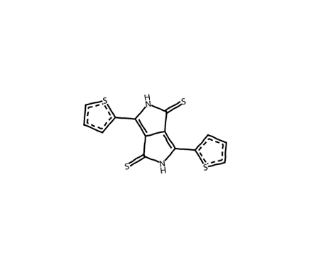 S=C1NC(c2cccs2)=C2C(=S)NC(c3cccs3)=C12